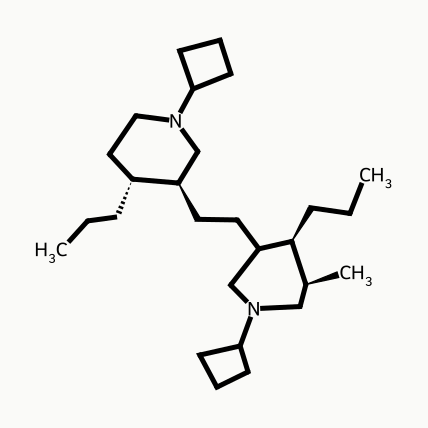 CCC[C@@H]1CCN(C2CCC2)C[C@H]1CCC1CN(C2CCC2)C[C@H](C)[C@@H]1CCC